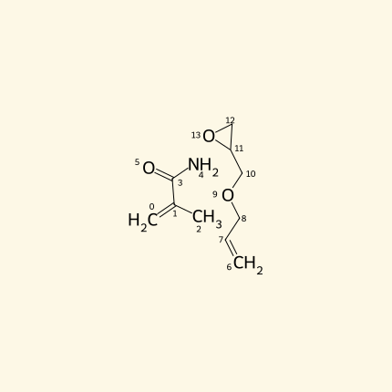 C=C(C)C(N)=O.C=CCOCC1CO1